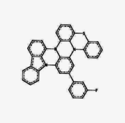 Fc1cccc(-c2cc3c4c(c2)-n2c5ccccc5c5cccc(c52)B4c2cccc4c2N3c2ccccc2S4)c1